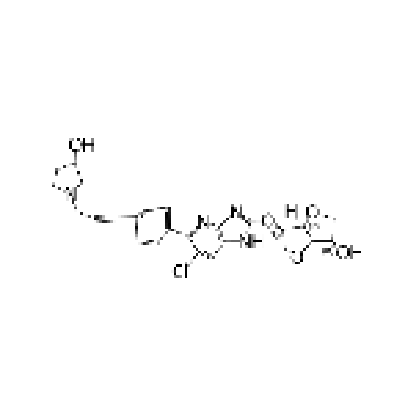 OC1CCN(CC#Cc2ccc(-c3nc4nc(O[C@@H]5COC6[C@H](O)CO[C@@H]65)[nH]c4cc3Cl)cc2)C1